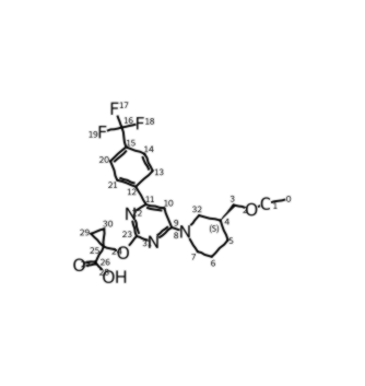 CCOC[C@H]1CCCN(c2cc(-c3ccc(C(F)(F)F)cc3)nc(OC3(C(=O)O)CC3)n2)C1